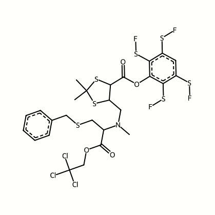 CN(CC1SC(C)(C)SC1C(=O)Oc1c(SF)c(SF)cc(SF)c1SF)C(CSCc1ccccc1)C(=O)OCC(Cl)(Cl)Cl